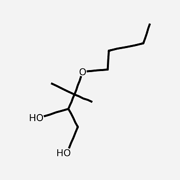 CCCCOC(C)(C)C(O)CO